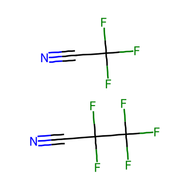 N#CC(F)(F)C(F)(F)F.N#CC(F)(F)F